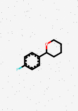 Fc1ccc(C2CCCCO2)cc1